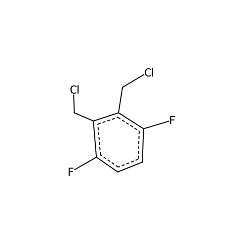 Fc1ccc(F)c(CCl)c1CCl